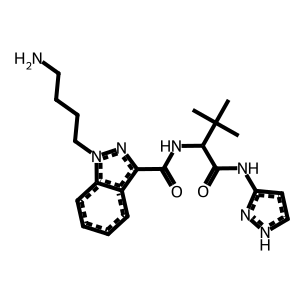 CC(C)(C)C(NC(=O)c1nn(CCCCN)c2ccccc12)C(=O)Nc1cc[nH]n1